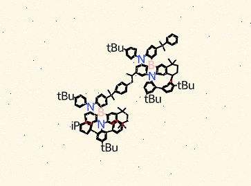 CC(C)c1cc2c3c(c1)N(c1c(-c4ccccc4)cc(C(C)(C)C)cc1-c1ccccc1)c1cc4c(cc1B3c1cc(C(C)(C)c3ccc(CC(C)c5cc6c7c(c5)N5c8cc9c(cc8B7c7cc(C(C)(C)c8ccccc8)ccc7N6c6ccc(C(C)(C)C)cc6)C(C)(C)CCC9(C)c6cc(ccc6C(C)(C)C)-c6cc(C(C)(C)C)ccc65)cc3)ccc1N2c1ccc(C(C)(C)C)cc1)C(C)(C)CCC4(C)C